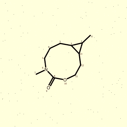 CC1C2CCCN(C)C(=O)OCCC12